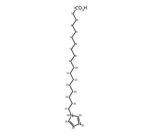 O=C(O)CCCCCCCCCCCCCCCCCn1ccnc1